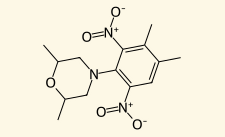 Cc1cc([N+](=O)[O-])c(N2CC(C)OC(C)C2)c([N+](=O)[O-])c1C